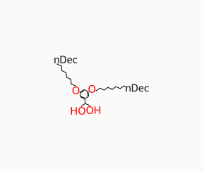 CCCCCCCCCCCCCCCCCCOc1cc(OCCCCCCCCCCCCCCCCCC)cc(C(CO)CO)c1